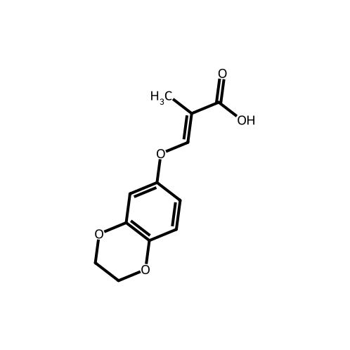 C/C(=C\Oc1ccc2c(c1)OCCO2)C(=O)O